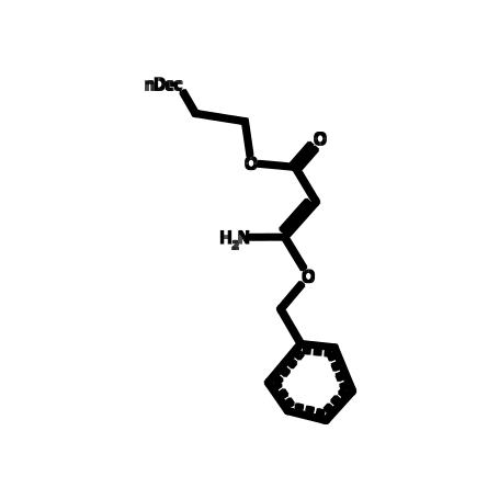 CCCCCCCCCCCCOC(=O)C=C(N)OCc1ccccc1